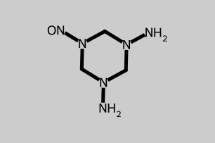 NN1CN(N)CN(N=O)C1